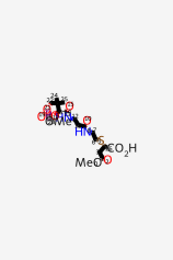 COC(=O)CC(SCCNC(=O)CCNC(=O)[C@@H]1OP(=O)(OC)OCC1(C)C)C(=O)O